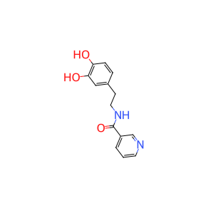 O=C(NCCc1ccc(O)c(O)c1)c1cccnc1